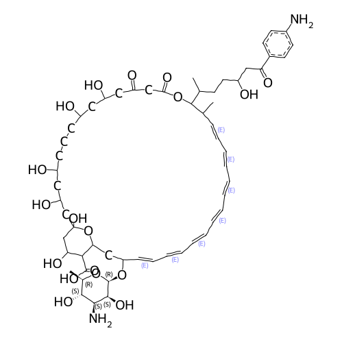 CC1/C=C/C=C/C=C/C=C/C=C/C=C/C=C/C(O[C@@H]2O[C@H](C)[C@@H](O)[C@H](N)[C@@H]2O)CC2OC(O)(CC(O)CC(O)CCCC(O)CC(O)CC(=O)CC(=O)OC1C(C)CCC(O)CC(=O)c1ccc(N)cc1)CC(O)C2C(=O)O